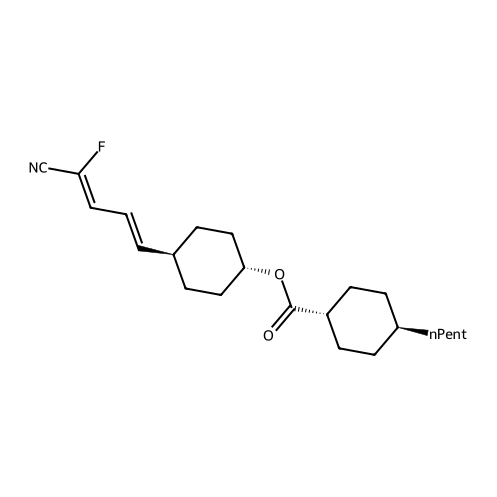 CCCCC[C@H]1CC[C@H](C(=O)O[C@H]2CC[C@H](C=CC=C(F)C#N)CC2)CC1